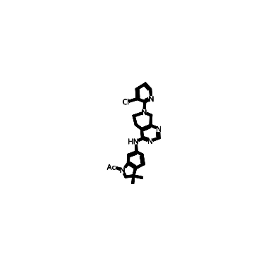 CC(=O)N1CC(C)(C)c2ccc(Nc3ncnc4c3CCN(c3ncccc3Cl)C4)cc21